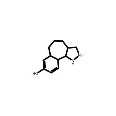 OC1=CC2CCCC3CNNC3C2C=C1